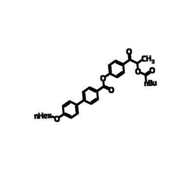 CCCCCCOc1ccc(-c2ccc(C(=O)Oc3ccc(C(=O)C(C)OC(=O)CCCC)cc3)cc2)cc1